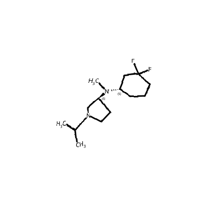 CC(C)N1CC[C@H](N(C)[C@H]2CCCC(F)(F)C2)C1